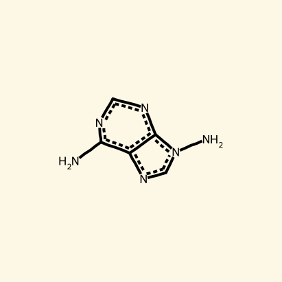 Nc1ncnc2c1ncn2N